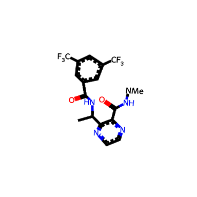 CNNC(=O)c1nccnc1C(C)NC(=O)c1cc(C(F)(F)F)cc(C(F)(F)F)c1